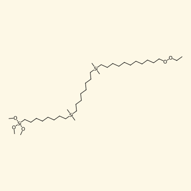 CCOOCCCCCCCCCCC[Si](C)(C)CCCCCCCC[Si](C)(C)CCCCCCCC[Si](OC)(OC)OC